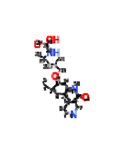 CCc1cc2c3ccncc3c(=O)n(C)c2cc1OCC(C)CC(C)NC(=O)O